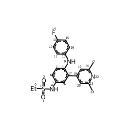 CCS(=O)(=O)Nc1ccc(Nc2ccc(F)cc2)c(-c2cc(C)nc(C)c2)c1